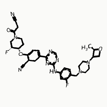 C[C@H]1OCC1N1CCN(Cc2ccc(Nc3ncnc(C4=CC=C(O[C@H]5CCN(C(=O)CC#N)C[C@H]5F)C(C#N)C4)n3)cc2F)CC1